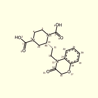 O=C(O)N1CCN(C(=O)O)[C@H](CCN2C(=O)COc3ccccc32)C1